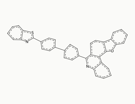 c1ccc2sc(-c3ccc(-c4ccc(-c5nc6ccccc6c6c5ccc5c7ccccc7oc56)cc4)cc3)nc2c1